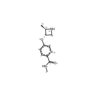 CNC(=O)c1ccc(O[C@H]2CN[C@@H]2C)cn1